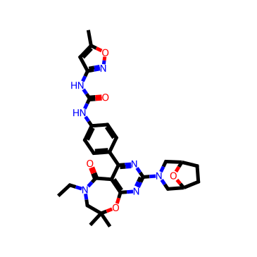 CCN1CC(C)(C)Oc2nc(N3CC4CCC(C3)O4)nc(-c3ccc(NC(=O)Nc4cc(C)on4)cc3)c2C1=O